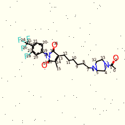 CC(=O)N1CCN(CCCCCCC2=C(C)C(=O)N(c3ccc(C(F)(F)F)c(F)c3)C2=O)CC1